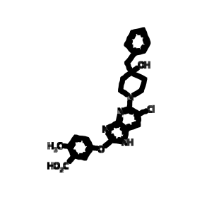 Cc1ccc(Oc2nc3nc(N4CCC(O)(Cc5ccccc5)CC4)c(Cl)cc3[nH]2)cc1C(=O)O